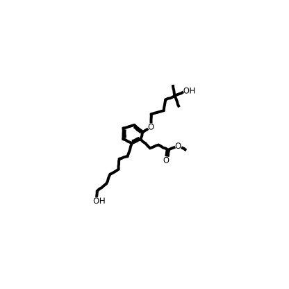 COC(=O)CCc1c(CCCCCCO)cccc1OCCCC(C)(C)O